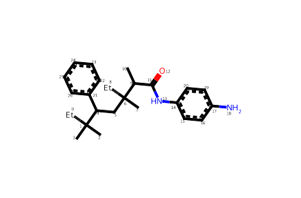 CCC(C)(C)C(CC(C)(CC)C(C)C(=O)Nc1ccc(N)cc1)c1ccccc1